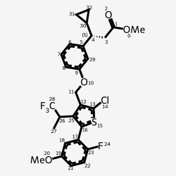 COC(=O)C[C@H](c1cccc(OCc2c(Cl)sc(-c3cc(OC)ccc3F)c2C(C)C(F)(F)F)c1)C1CC1